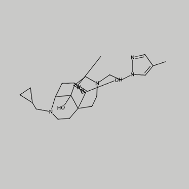 Cc1cnn(CCN2CCC34CCN(CC5CC5)C(Cc5cc(C)c(O)cc53)C4(O)CC2)c1